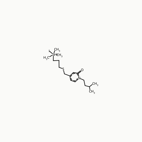 CC(C)CCn1ccc(CSCCC[SH](C)(C)(C)I)cc1=O